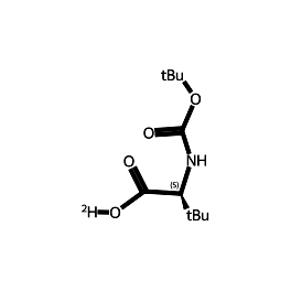 [2H]OC(=O)[C@@H](NC(=O)OC(C)(C)C)C(C)(C)C